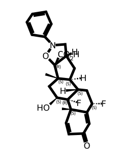 C[C@]12C=CC(=O)C=C1[C@@H](F)C[C@H]1[C@@H]3C[C@H]4CN(c5ccccc5)O[C@@]4(C(=O)O)[C@@]3(C)C[C@H](O)[C@@]12F